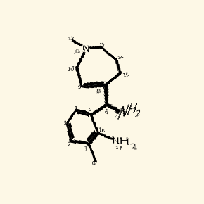 Cc1cccc(C(N)C2=CCN(C)CCC2)c1N